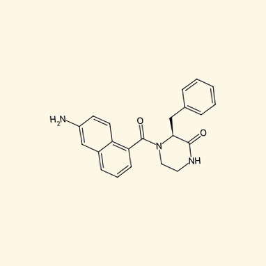 Nc1ccc2c(C(=O)N3CCNC(=O)[C@@H]3Cc3ccccc3)cccc2c1